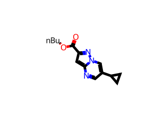 CCCCOC(=O)c1cc2ncc(C3CC3)cn2n1